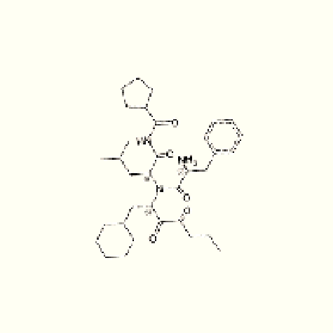 CCCC(=O)C(=O)[C@H](CC1CCCCC1)N(C(=O)[C@@H](N)Cc1ccccc1)[C@@H](CC(C)C)C(=O)NC(=O)C1CCCC1